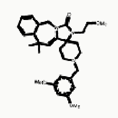 COCCN1C(=O)N2CC3C=CC=CC3C(C)(C)C=C2C12CCN(Cc1cc(OC)cc(OC)c1)CC2